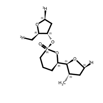 [2H]C[C@H]1O[C@@H]([3H])C[C@@H]1O[P@]1(=O)CCC[C@H]([C@H]2O[C@@H]([3H])C[C@@H]2C)O1